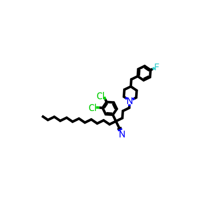 CCCCCCCCCCCCC(C#N)(CCCN1CCC(Cc2ccc(F)cc2)CC1)c1ccc(Cl)c(Cl)c1